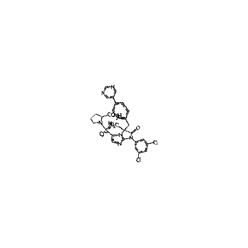 C[C@@]1(Cc2ccc(-c3cncnc3)cc2)C(=O)N(c2cc(Cl)cc(Cl)c2)c2ncc(S(=O)(=O)N3CCCC3C(=O)O)n21